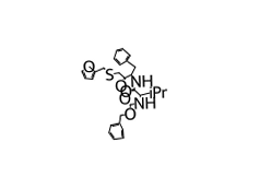 CC(C)C(NC(=O)OCc1ccccc1)C(=O)NC(Cc1ccccc1)C(=O)CSCc1ccco1